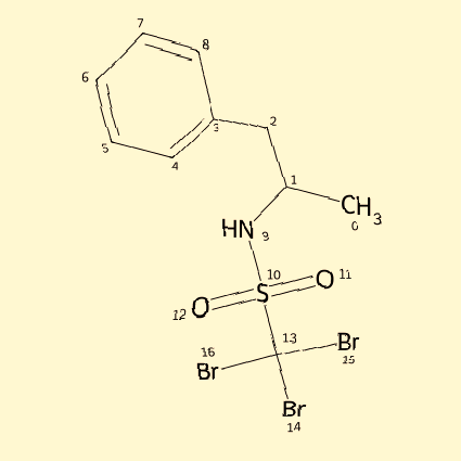 CC(Cc1ccccc1)NS(=O)(=O)C(Br)(Br)Br